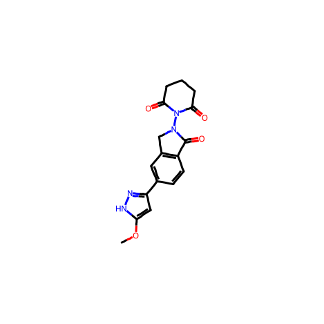 COc1cc(-c2ccc3c(c2)CN(N2C(=O)CCCC2=O)C3=O)n[nH]1